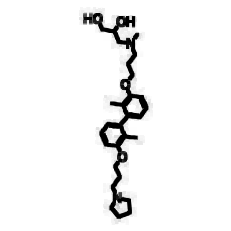 Cc1c(OCCCN(C)CC(O)CO)cccc1-c1cccc(OCCCN2CCCC2)c1C